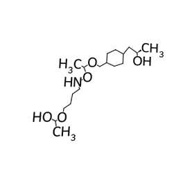 CC(O)OCCCCNOC(C)OCC1CCC(C[C@@H](C)O)CC1